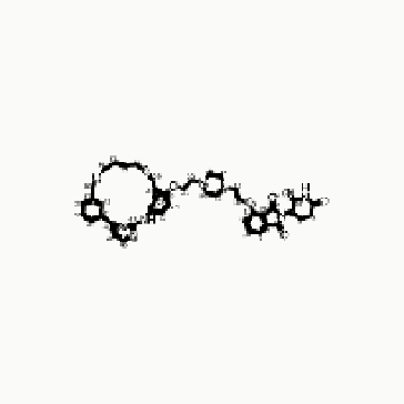 O=C1CCC(N2C(=O)c3cccc(OCCN4CCN(CCOc5ccc6cc5COC/C=C/COCc5cccc(c5)-c5ccnc(n5)N6)CC4)c3C2=O)C(=O)N1